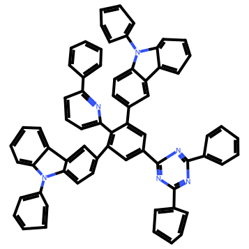 c1ccc(-c2cccc(-c3c(-c4ccc5c(c4)c4ccccc4n5-c4ccccc4)cc(-c4nc(-c5ccccc5)nc(-c5ccccc5)n4)cc3-c3ccc4c(c3)c3ccccc3n4-c3ccccc3)n2)cc1